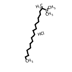 CCCCCCCCCCCCCCCCC(C)N(C)C.Cl